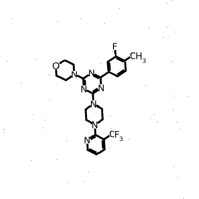 Cc1ccc(-c2nc(N3CCOCC3)nc(N3CCN(c4ncccc4C(F)(F)F)CC3)n2)cc1F